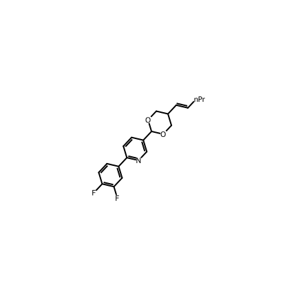 CCCC=CC1COC(c2ccc(-c3ccc(F)c(F)c3)nc2)OC1